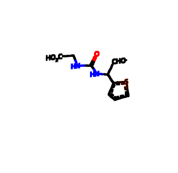 O=[C]C(NC(=O)NCC(=O)O)c1cccs1